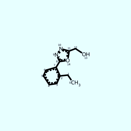 CCc1ccccc1-c1nnc(CO)o1